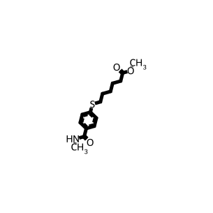 CNC(=O)c1ccc(SCCCCCC(=O)OC)cc1